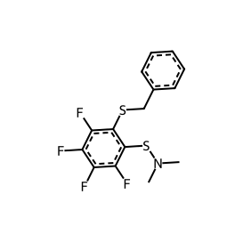 CN(C)Sc1c(F)c(F)c(F)c(F)c1SCc1ccccc1